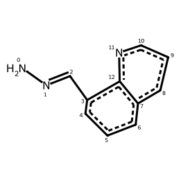 N/N=C/c1cccc2cccnc12